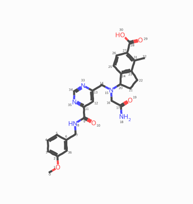 COc1cccc(CNC(=O)c2cc(CN(CC(N)=O)C3CCc4c3ccc(C(=O)O)c4C)ncn2)c1